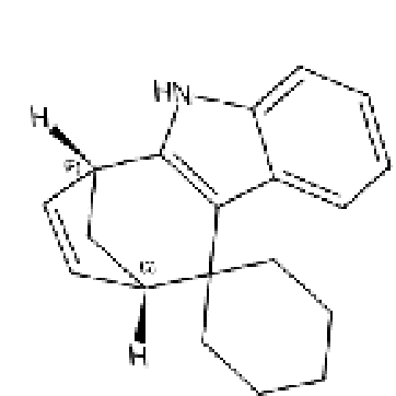 C1=C[C@H]2C[C@@H]1C1(CCCCC1)c1c2[nH]c2ccccc12